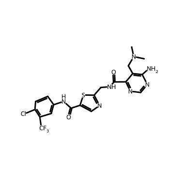 CN(C)Cc1c(N)ncnc1C(=O)NCc1ncc(C(=O)Nc2ccc(Cl)c(C(F)(F)F)c2)s1